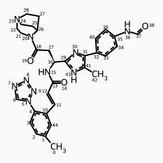 Cc1ccc(-n2cnnn2)c(/C=C/C(=O)N[C@@H](CC(=O)N2CCN3CCC2CC3)c2nc(-c3ccc(NC=O)cc3)c(C)[nH]2)c1